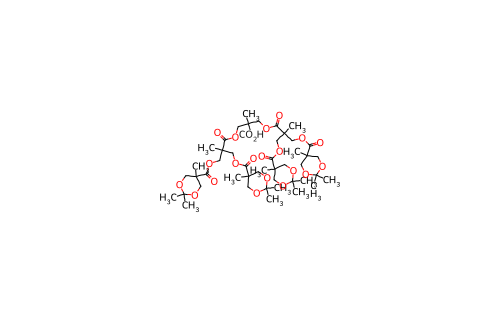 CC1(C)OCC(C)(C(=O)OCC(C)(COC(=O)C2(C)COC(C)(C)OC2)C(=O)OCC(C)(COC(=O)C(C)(COC(=O)C2(C)COC(C)(C)OC2)COC(=O)C2(C)COC(C)(C)OC2)C(=O)O)CO1